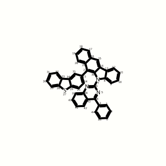 c1ccc(-c2nc(-n3c4ccccc4c4cc5ccccc5c(-c5ccc6sc7ccccc7c6c5)c43)nc3ccccc23)cc1